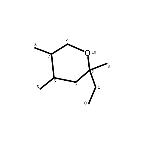 CCC1(C)CC(C)C(C)CO1